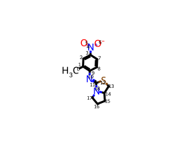 Cc1cc([N+](=O)[O-])ccc1N=C1SCC2CCCN12